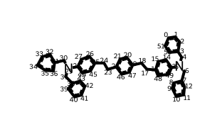 c1ccc(CN(Cc2ccccc2)c2ccc(CCc3ccc(CCc4ccc(N(Cc5ccccc5)Cc5ccccc5)cc4)cc3)cc2)cc1